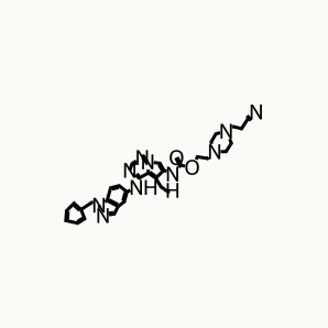 CCc1c(NC(=O)OCCN2CCN(CCC#N)CC2)cn2ncnc(Nc3ccc4c(cnn4Cc4ccccc4)c3)c12